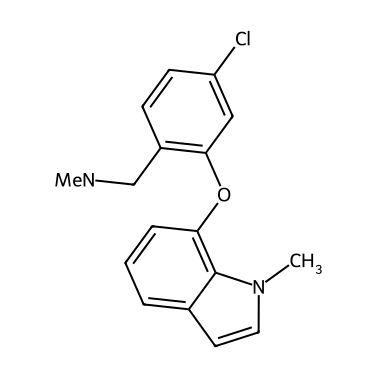 CNCc1ccc(Cl)cc1Oc1cccc2ccn(C)c12